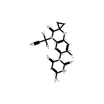 [2H]C([2H])(C#C)N1C(=O)C2(CC2)Oc2cc(F)c(-n3c(=O)cc(C(F)(F)F)[nH]c3=O)cc21